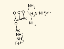 CC(=O)[O-].CC(=O)[O-].CC(=O)[O-].CC(=O)[O-].NCCN.[Fe+3].[Fe+3].[NH2-].[NH2-].[NH2-].[NH4+]